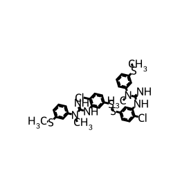 CSc1cccc(N(C)C(=N)Nc2cc(SSc3ccc(Cl)c(NC(=N)N(C)c4cccc(SC)c4)c3)ccc2Cl)c1